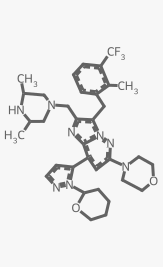 Cc1c(Cc2c(CN3CC(C)NC(C)C3)nc3c(-c4ccnn4C4CCCCO4)cc(N4CCOCC4)nn23)cccc1C(F)(F)F